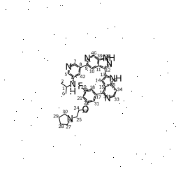 CC(C)Nc1cncc(-c2cc3c(-c4cc5c(-c6cc(F)cc(OCCN7CCCC7)c6)nccc5[nH]4)n[nH]c3cn2)c1